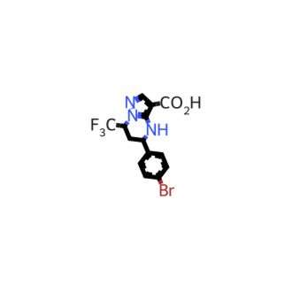 O=C(O)c1cnn2c1NC(c1ccc(Br)cc1)CC2C(F)(F)F